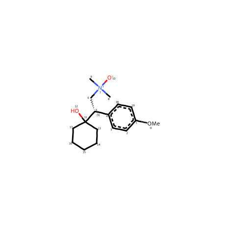 COc1ccc([C@@H](C[N+](C)(C)[O-])C2(O)CCCCC2)cc1